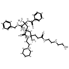 CC(N)(CCC(=O)OCCOCCO)CC(C)(CC(C)(SC(=S)c1ccccc1)C(=O)OCc1ccccc1)C(=O)OCCN1CCCCC1